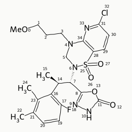 COCCCN1CN([C@H](c2n[nH]c(=O)o2)[C@H](C)c2c(F)ccc(C)c2C)S(=O)(=O)c2ccc(Cl)nc21